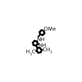 COc1ccc(CNc2cccc3c2[nH]c2c(C)ccc(C)c23)cc1